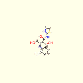 O=C(Nc1nccs1)c1c(CO)nc2c(C(F)(F)F)cccc2c1O